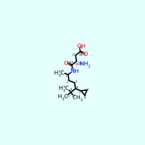 CC(CCC(C1CC1)C(C)(C)C)NC(=O)[C@@H](N)CC(=O)O